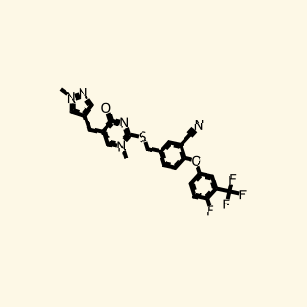 Cn1cc(Cc2cn(C)c(SCc3ccc(Oc4ccc(F)c(C(F)(F)F)c4)c(C#N)c3)nc2=O)cn1